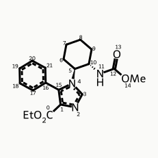 CCOC(=O)c1ncn([C@H]2CCCC[C@@H]2NC(=O)OC)c1-c1ccccc1